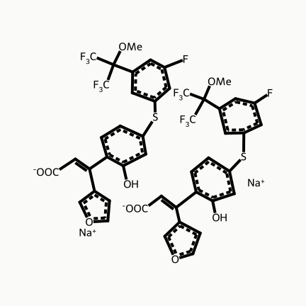 COC(c1cc(F)cc(Sc2ccc(C(=CC(=O)[O-])c3ccoc3)c(O)c2)c1)(C(F)(F)F)C(F)(F)F.COC(c1cc(F)cc(Sc2ccc(C(=CC(=O)[O-])c3ccoc3)c(O)c2)c1)(C(F)(F)F)C(F)(F)F.[Na+].[Na+]